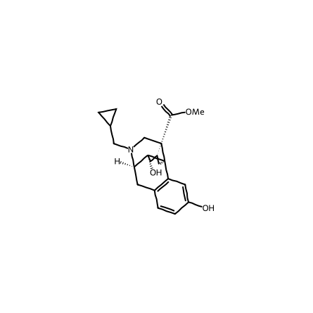 COC(=O)[C@@H]1C[C@]23CCN(CC4CC4)[C@H](Cc4ccc(O)cc42)[C@]3(O)C1